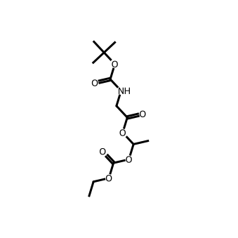 CCOC(=O)OC(C)OC(=O)CNC(=O)OC(C)(C)C